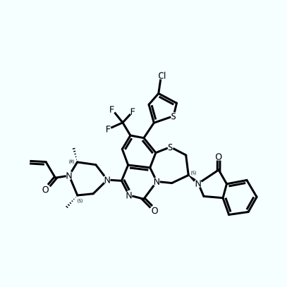 C=CC(=O)N1[C@H](C)CN(c2nc(=O)n3c4c(c(-c5cc(Cl)cs5)c(C(F)(F)F)cc24)SC[C@@H](N2Cc4ccccc4C2=O)C3)C[C@@H]1C